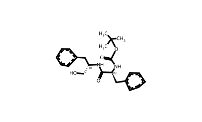 CC(C)(C)OC(=O)N[C@@H](Cc1ccccc1)C(=O)N[C@H](CO)Cc1ccccc1